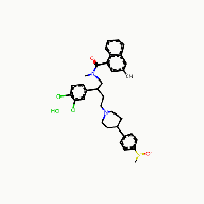 CN(CC(CCN1CCC(c2ccc([S+](C)[O-])cc2)CC1)c1ccc(Cl)c(Cl)c1)C(=O)c1cc(C#N)cc2ccccc12.Cl